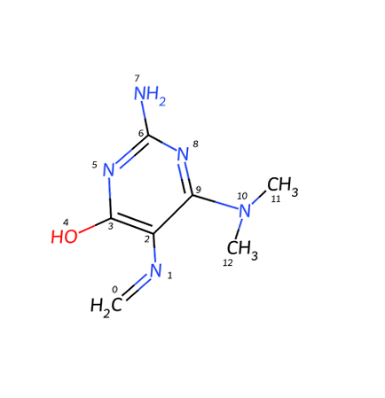 C=Nc1c(O)nc(N)nc1N(C)C